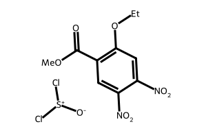 CCOc1cc([N+](=O)[O-])c([N+](=O)[O-])cc1C(=O)OC.[O-][S+](Cl)Cl